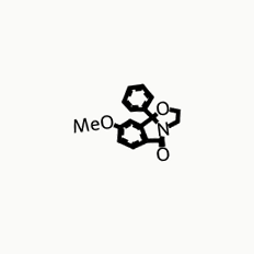 COc1ccc2c(c1)C1(c3ccccc3)OCCN1C2=O